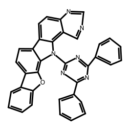 c1ccc(-c2nc(-c3ccccc3)nc(-n3c4c5cncnc5ccc4c4ccc5c6ccccc6oc5c43)n2)cc1